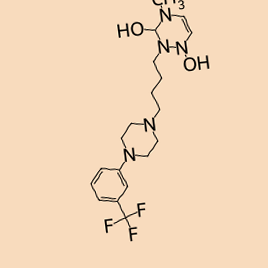 CN1C=CN(O)N(CCCCN2CCN(c3cccc(C(F)(F)F)c3)CC2)C1O